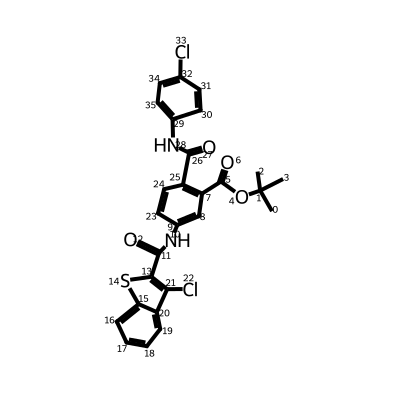 CC(C)(C)OC(=O)c1cc(NC(=O)c2sc3ccccc3c2Cl)ccc1C(=O)Nc1ccc(Cl)cc1